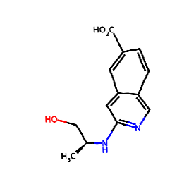 C[C@@H](CO)Nc1cc2cc(C(=O)O)ccc2cn1